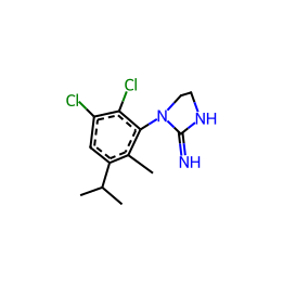 Cc1c(C(C)C)cc(Cl)c(Cl)c1N1CCNC1=N